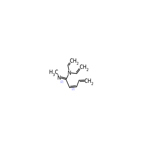 C=C/C=C\C(=N\C)N(C=C)C=C